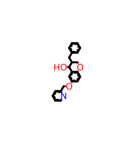 OC1c2cc(OCc3ccccn3)ccc2OCC1Cc1ccccc1